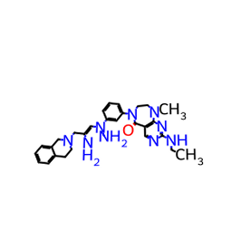 CCNc1ncc2c(n1)N(C)CCN(c1cccc(N(N)/C=C(\N)CN3CCc4ccccc4C3)c1)C2=O